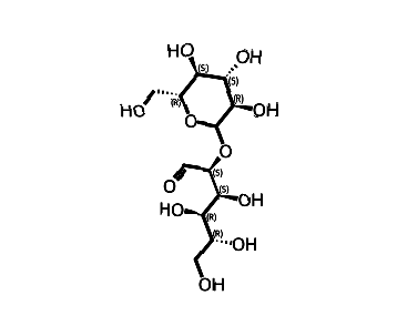 O=C[C@@H](OC1O[C@H](CO)[C@@H](O)[C@H](O)[C@H]1O)[C@@H](O)[C@H](O)[C@H](O)CO